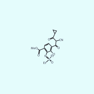 CCS(=O)(CC)=Nc1c(C(=O)OC)ccc(C(=O)C(C#N)C(=O)C2CC2)c1Cl